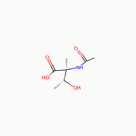 CC(=O)N[C@](C)(C(=O)O)[C@@H](C)O